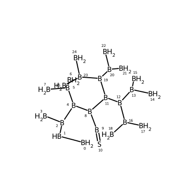 BBB(B)B(B(B)B)B(B=S)B(B(B(B)B)B(B)B)B(B(B)B)B(B)B